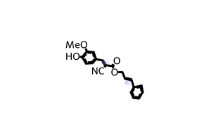 COc1cc(/C=C(\C#N)C(=O)OC/C=C/c2ccccc2)ccc1O